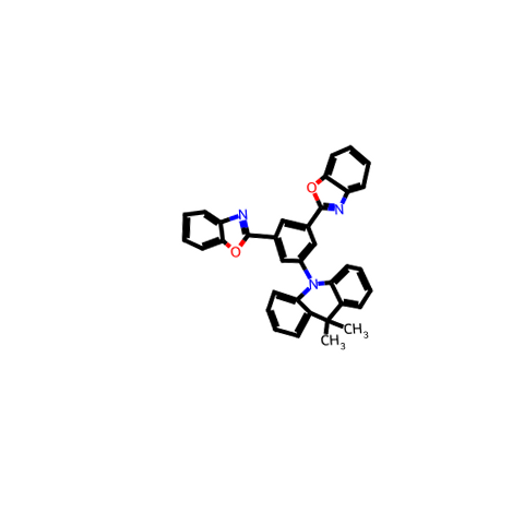 CC1(C)c2ccccc2N(c2cc(-c3nc4ccccc4o3)cc(-c3nc4ccccc4o3)c2)c2ccccc21